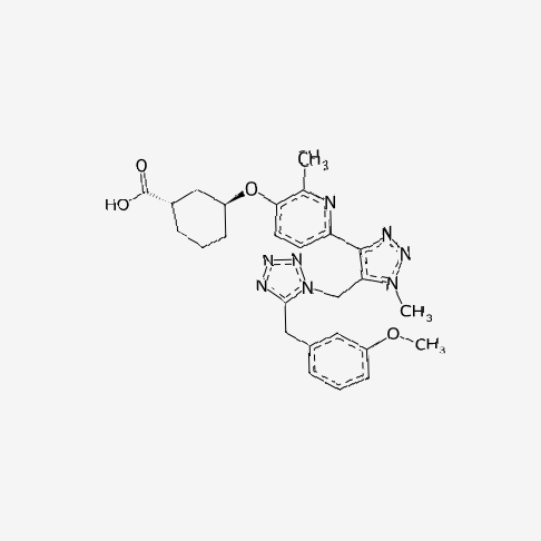 COc1cccc(Cc2nnnn2Cc2c(-c3ccc(O[C@H]4CCC[C@H](C(=O)O)C4)c(C)n3)nnn2C)c1